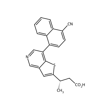 C[C@@H](CC(=O)O)c1cc2cncc(-c3ccc(C#N)c4ccccc34)c2s1